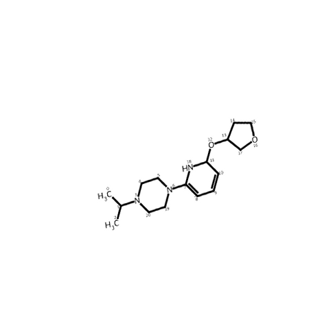 CC(C)N1CCN(C2=[C]C=CC(OC3CCOC3)N2)CC1